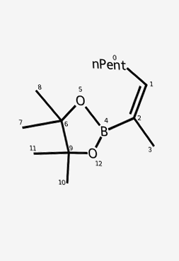 CCCCC/C=C(/C)B1OC(C)(C)C(C)(C)O1